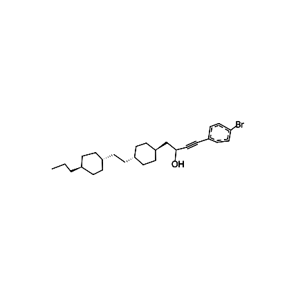 CCC[C@H]1CC[C@H](CC[C@H]2CC[C@H](CC(O)C#Cc3ccc(Br)cc3)CC2)CC1